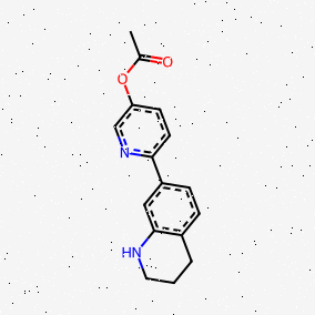 CC(=O)Oc1ccc(-c2ccc3c(c2)NCCC3)nc1